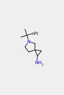 CCCC(C)(C)N1CCC2(CC2N)C1